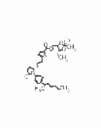 CCCCC[C@H](C)c1ccc(N2C(=O)CC[C@@H]2CCCc2ccc(C(=O)OC[C@H]3OC(C)(C)O[C@@H]3CC)s2)cc1